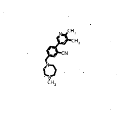 Cc1cc(-c2ccc(CN3CCCN(C)CC3)cc2C#N)cnc1C